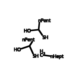 CCCCCC(O)S.CCCCCC(O)S.CCCCCCCC